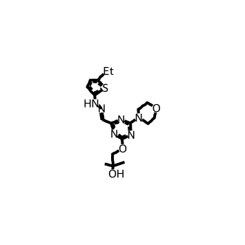 CCc1ccc(NN=Cc2nc(OCC(C)(C)O)nc(N3CCOCC3)n2)s1